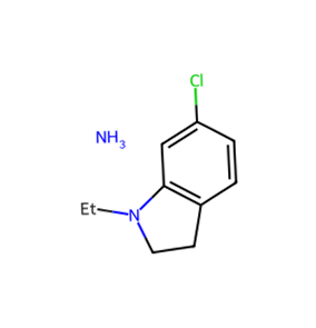 CCN1CCc2ccc(Cl)cc21.N